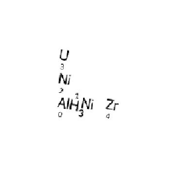 [AlH3].[Ni].[Ni].[U].[Zr]